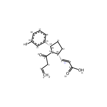 C=CCC(=O)N1[C@@H](/C=C/C(=O)O)CC[C@H]1c1cccc(F)c1